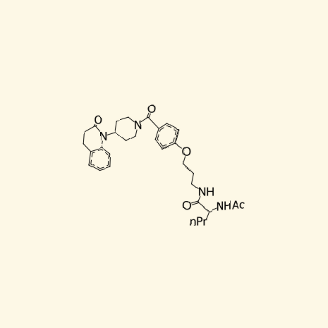 CCCC(NC(C)=O)C(=O)NCCCOc1ccc(C(=O)N2CCC(N3C(=O)CCc4ccccc43)CC2)cc1